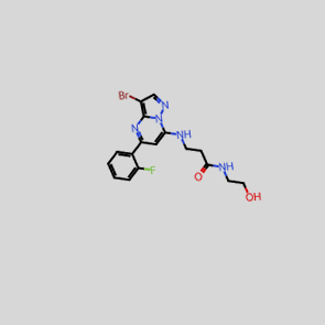 O=C(CCNc1cc(-c2ccccc2F)nc2c(Br)cnn12)NCCO